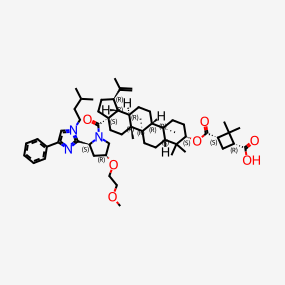 C=C(C)[C@@H]1CC[C@]2(C(=O)N3C[C@H](OCCOC)C[C@H]3c3nc(-c4ccccc4)cn3CCC(C)C)CC[C@]3(C)[C@H](CC[C@@H]4[C@@]5(C)CC[C@H](OC(=O)[C@H]6C[C@@H](C(=O)O)C6(C)C)C(C)(C)[C@@H]5CC[C@]43C)[C@@H]12